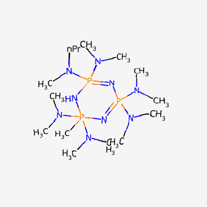 CCCN(C)P1(N(C)C)=NP(N(C)C)(N(C)C)=NP(C)(N(C)C)(N(C)C)N1